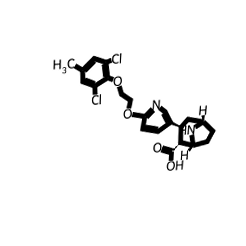 Cc1cc(Cl)c(OCCOc2ccc([C@H]3C[C@@H]4CC[C@@H](N4)[C@@H]3C(=O)O)cn2)c(Cl)c1